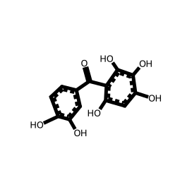 O=C(c1ccc(O)c(O)c1)c1c(O)cc(O)c(O)c1O